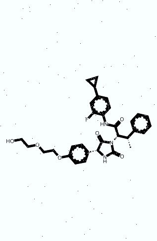 C[C@@H](c1ccccc1)[C@@H](C(=O)Nc1ccc(C2CC2)cc1F)N1C(=O)N[C@H](c2ccc(OCCOCCO)cc2)C1=O